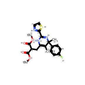 CCOC(=O)C1=C(CC(C(=O)OC(C)(C)C)C(=O)OC(C)(C)C)NC(c2nccs2)=NC1(C)c1ccc(F)cc1